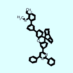 C=Cc1cccc(-c2cccc(-c3ccc4c(c3)Oc3cc(-c5cc(-c6ccccc6)nc(-c6ccccc6)n5)ccc3C43c4ccccc4-c4ccccc43)c2)c1N=C